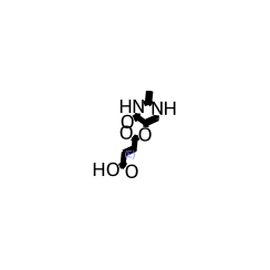 C=C1NC=C(OC(=O)/C=C/C(=O)O)C(=O)N1